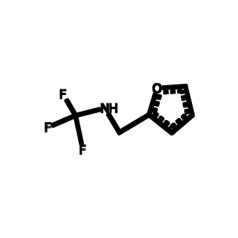 FC(F)(F)NCc1ccco1